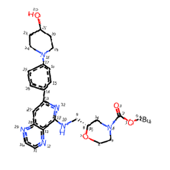 CC(C)(C)OC(=O)N1CCO[C@H](CNc2nc(-c3ccc(N4CCC(O)CC4)cc3)cc3nccnc23)C1